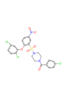 O=C(c1ccc(Cl)cc1)N1CCN(S(=O)(=O)c2cc([N+](=O)[O-])ccc2Oc2cc(Cl)ccc2Cl)CC1